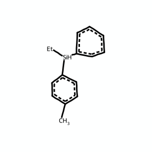 CC[SiH](c1ccccc1)c1ccc(C)cc1